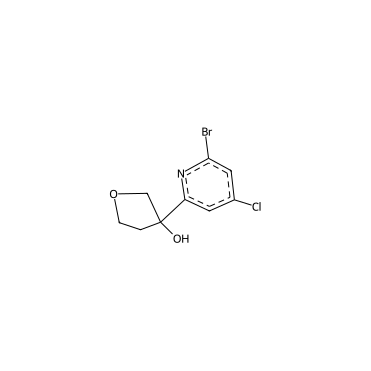 OC1(c2cc(Cl)cc(Br)n2)CCOC1